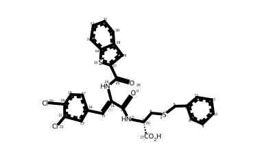 O=C(N[C@H](CSCc1ccccc1)C(=O)O)/C(=C/c1ccc(Cl)c(Cl)c1)NC(=O)c1cc2ccccc2s1